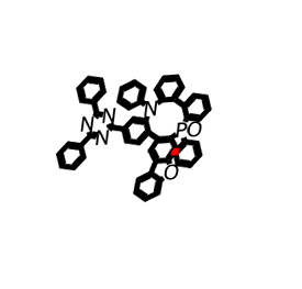 O=P1(c2ccccc2)c2ccccc2-c2ccccc2N(c2ccccc2)c2cc(-c3nc(-c4ccccc4)nc(-c4ccccc4)n3)ccc2-c2cc3c(cc21)oc1ccccc13